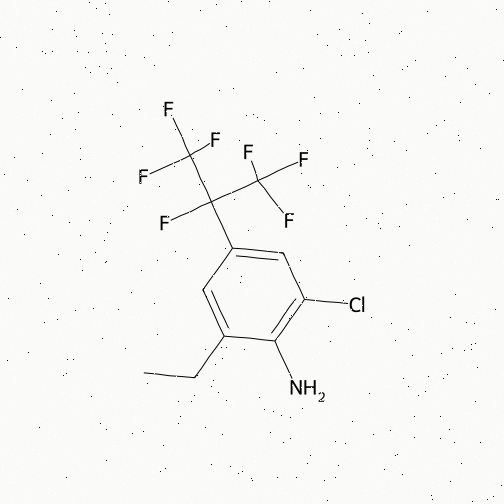 CCc1cc(C(F)(C(F)(F)F)C(F)(F)F)cc(Cl)c1N